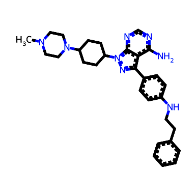 CN1CCN(C2CCC(n3nc(-c4ccc(NCCc5ccccc5)cc4)c4c(N)ncnc43)CC2)CC1